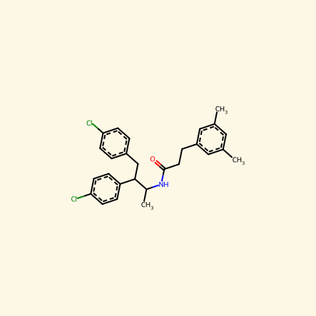 Cc1cc(C)cc(CCC(=O)NC(C)C(Cc2ccc(Cl)cc2)c2ccc(Cl)cc2)c1